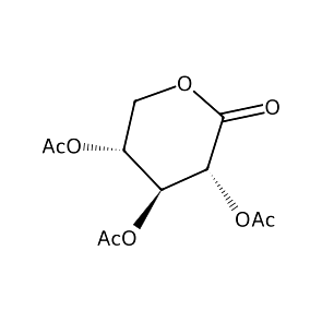 CC(=O)O[C@H]1[C@H](OC(C)=O)COC(=O)[C@@H]1OC(C)=O